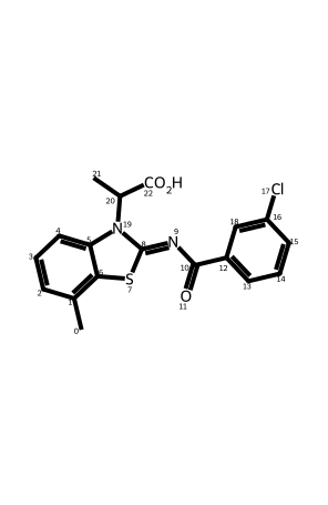 Cc1cccc2c1s/c(=N\C(=O)c1cccc(Cl)c1)n2C(C)C(=O)O